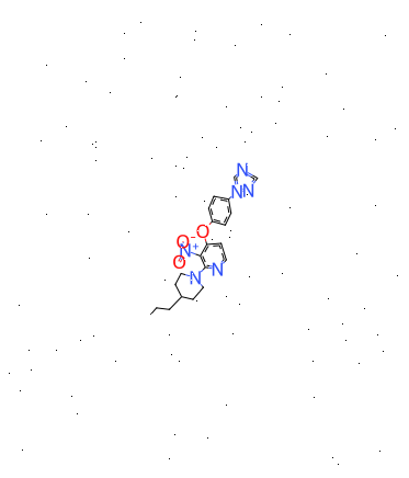 CCCC1CCN(c2nccc(Oc3ccc(-n4cncn4)cc3)c2[N+](=O)[O-])CC1